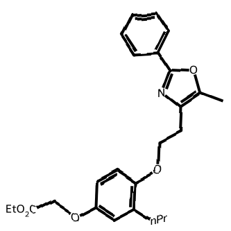 CCCc1cc(OCC(=O)OCC)ccc1OCCc1nc(-c2ccccc2)oc1C